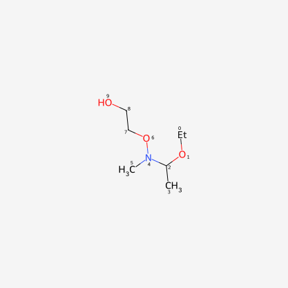 CCOC(C)N(C)OCCO